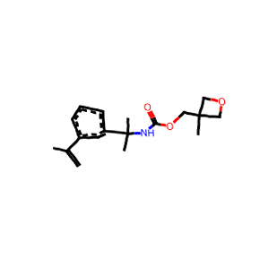 C=C(C)c1cccc(C(C)(C)NC(=O)OCC2(C)COC2)c1